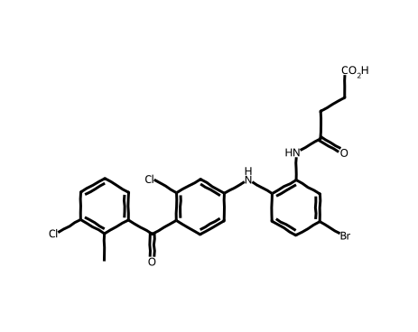 Cc1c(Cl)cccc1C(=O)c1ccc(Nc2ccc(Br)cc2NC(=O)CCC(=O)O)cc1Cl